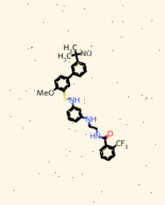 COc1ccc(-c2cccc(C(C)(C)N=O)c2)cc1SNc1cccc(NCCNC(=O)c2ccccc2C(F)(F)F)c1